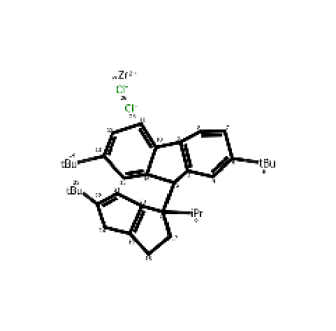 CC(C)C1(C2c3cc(C(C)(C)C)ccc3-c3ccc(C(C)(C)C)cc32)CCC2=C1C=C(C(C)(C)C)C2.[Cl-].[Cl-].[Zr+2]